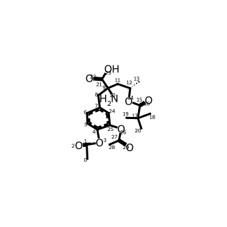 CC(=O)Oc1ccc(CC(N)(C[C@H](C)OC(=O)C(C)(C)C)C(=O)O)cc1OC(C)=O